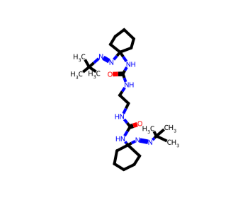 CC(C)(C)N=NC1(NC(=O)NCCNC(=O)NC2(N=NC(C)(C)C)CCCCC2)CCCCC1